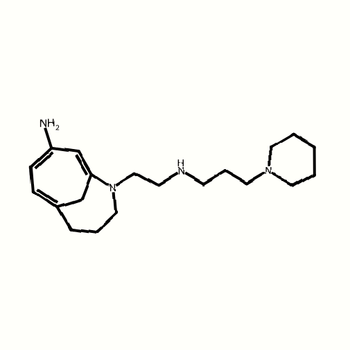 NC1=CC=C2CCCN(CCNCCCN3CCCCC3)C(=C1)C2